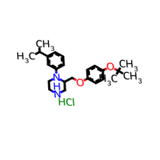 CC(C)c1cccc(N2CCNCC2COc2ccc(OC(C)(C)C)cc2)c1.Cl